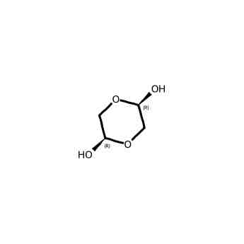 O[C@H]1CO[C@@H](O)CO1